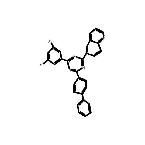 Brc1cc(Br)cc(-c2nc(-c3ccc(-c4ccccc4)cc3)nc(-c3ccc4ncccc4c3)n2)c1